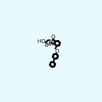 O=C(O)Cn1[nH]c2c(COc3ccc(-c4ccccc4)cc3)cccc2c1=O